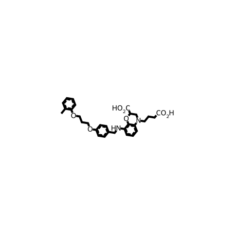 Cc1ccccc1OCCCOc1ccc(CNc2cccc3c2OC(C(=O)O)CN3CCCC(=O)O)cc1